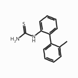 Cc1ccccc1-c1ccccc1NC(N)=S